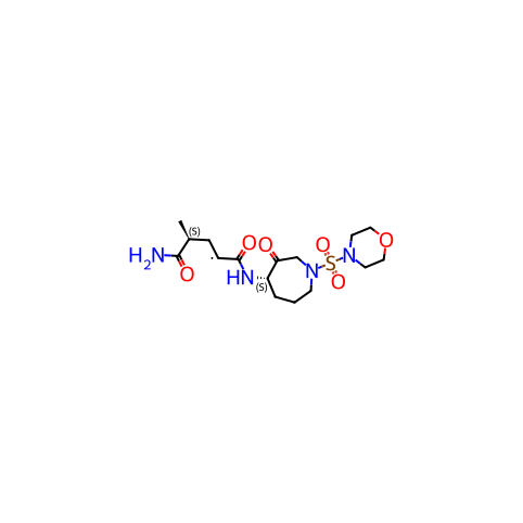 C[C@@H](C[CH]C(=O)N[C@H]1CCCN(S(=O)(=O)N2CCOCC2)CC1=O)C(N)=O